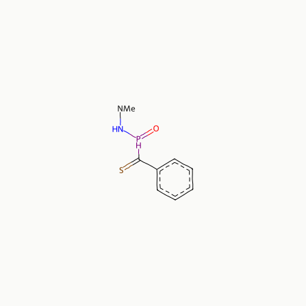 CNN[PH](=O)C(=S)c1ccccc1